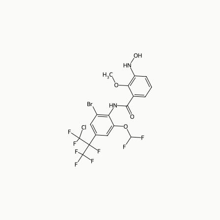 COc1c(NO)cccc1C(=O)Nc1c(Br)cc(C(F)(C(F)(F)F)C(F)(F)Cl)cc1OC(F)F